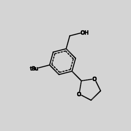 CC(C)(C)c1cc(CO)cc(C2OCCO2)c1